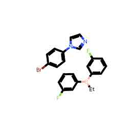 Brc1ccc(-n2ccnc2)cc1.CCB(c1cccc(F)c1)c1cccc(F)c1